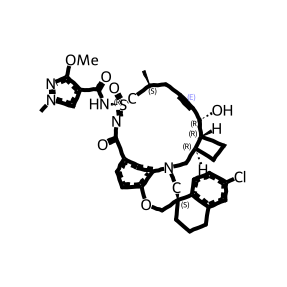 COc1nn(C)cc1C(=O)N[S@@]1(=O)=NC(=O)c2ccc3c(c2)N(C[C@@H]2CC[C@H]2[C@@H](O)/C=C/C[C@H](C)C1)C[C@@]1(CCCc2cc(Cl)ccc21)CO3